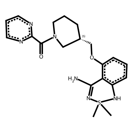 CS1(C)N=C(N)c2c(cccc2OC[C@H]2CCCN(C(=O)c3ncccn3)C2)N1